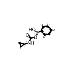 O=C(NC1CC1)OB(O)c1ccccc1